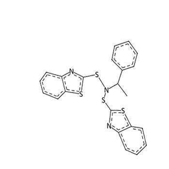 CC(c1ccccc1)N(Sc1nc2ccccc2s1)Sc1nc2ccccc2s1